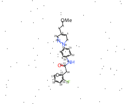 COCCC1=CCN(c2ccc(NC(=O)Cc3ccccc3F)cc2)N=C1